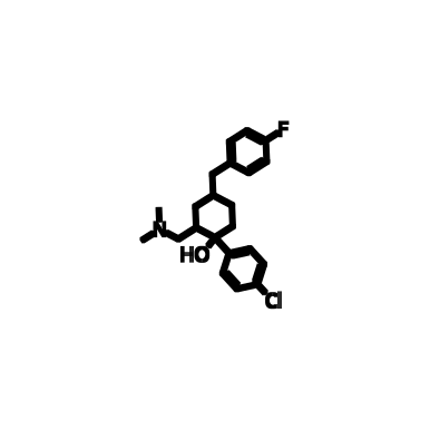 CN(C)CC1CC(Cc2ccc(F)cc2)CCC1(O)c1ccc(Cl)cc1